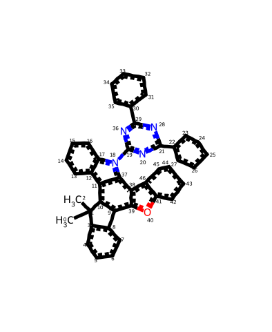 CC1(C)c2ccccc2-c2c1c1c3ccccc3n(-c3nc(-c4ccccc4)nc(-c4ccccc4)n3)c1c1c2oc2ccccc21